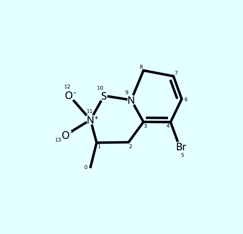 CC1CC2=C(Br)C=CCN2S[N+]1([O-])[O-]